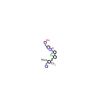 COc1cc(/C=C/c2cccc(-c3cccc(NC(=O)c4ccc(CN5CC[C@@H](O)C5)cn4)c3F)c2Cl)c(C(F)(F)F)cc1CN1CCCC1